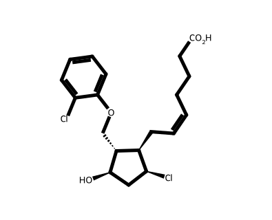 O=C(O)CCC/C=C\C[C@@H]1[C@@H](COc2ccccc2Cl)[C@H](O)C[C@@H]1Cl